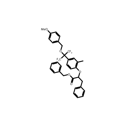 COc1ccc(COC(c2ccc(OC(Cc3ccccc3)C(=O)OCc3ccccc3)c(C)c2)(C(F)(F)F)C(F)(F)F)cc1